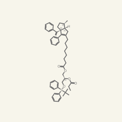 C=C(c1ccccc1)[C@@]12CC[C@@H](C)[C@@H]1CC(CCCCCCCC(=O)OC[C@H](CO[Si](c1ccccc1)(c1ccccc1)C(C)(C)C)OC(=O)CC)=C2c1ccccc1